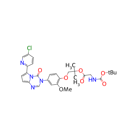 COc1cc(-n2cnc3ccc(-c4ccc(Cl)cn4)n3c2=O)ccc1OCC(C)(C)OC(=O)CNC(=O)OC(C)(C)C